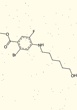 COC(=O)c1cc(F)c(NCCCCCCO)cc1Br